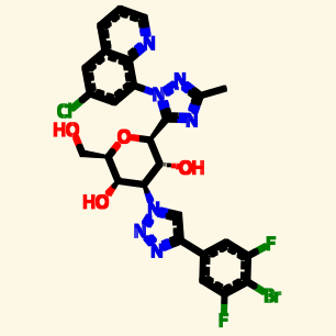 Cc1nc([C@@H]2O[C@H](CO)[C@H](O)[C@H](n3cc(-c4cc(F)c(Br)c(F)c4)nn3)[C@H]2O)n(-c2cc(Cl)cc3cccnc23)n1